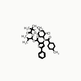 CC1CCC(C(=O)N(c2cc(-c3ccccc3)sc2C(=O)OC(OC(=O)C(C)(C)C)C(C)C)C2CCN(C)CC2)CC1.Cl